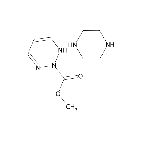 C1CNCCN1.COC(=O)N1N=CC=CN1